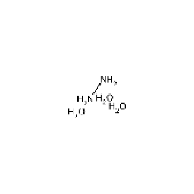 NN.O.O.O